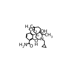 C=C1CC[C@@]2(O)[C@@H](C)N(CC3CC3)CC[C@]2(c2c(C)ccc(C(N)=O)c2O)C1